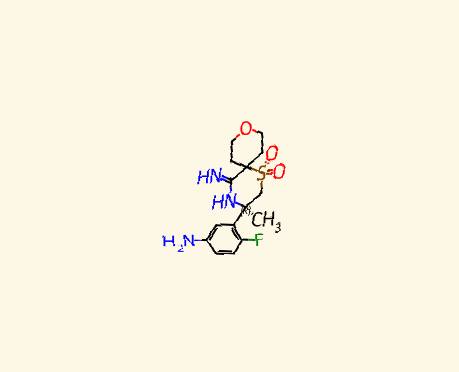 C[C@@]1(c2cc(N)ccc2F)CS(=O)(=O)C2(CCOCC2)C(=N)N1